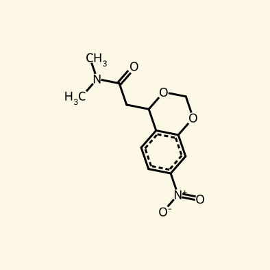 CN(C)C(=O)CC1OCOc2cc([N+](=O)[O-])ccc21